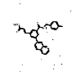 COC(=O)/C=C/c1cc(C(=O)NCc2ccc(C)cc2)cc(-c2ccc3cccnc3c2)c1